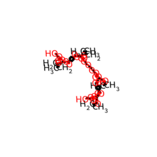 C=C(C)C(=C)OCC(COC(=O)c1ccc(C(=O)OCC(COC(=C)C(=C)C)OC(=O)OCCOCCOCCOC(=O)OC(COC(=O)C(=C)C)COC(=O)c2ccc(C(=O)OCC(COC(=O)C(=C)C)OC(=O)OCCO)cc2)cc1)OC(=O)OCCO